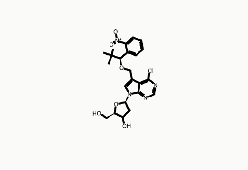 CC(C)(C)[C@H](OCc1cn([C@H]2CC(O)[C@@H](CO)O2)c2ncnc(Cl)c12)c1ccccc1[N+](=O)[O-]